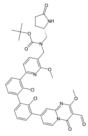 COc1nc(-c2cccc(-c3cccc(-c4ccn5c(=O)c(C=O)c(OC)nc5c4)c3Cl)c2Cl)ccc1CN(C[C@@H]1CCC(=O)N1)C(=O)OC(C)(C)C